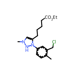 CCOC(=O)CCCCC1=CN(C)NN1c1ccc(C)c(CCl)c1